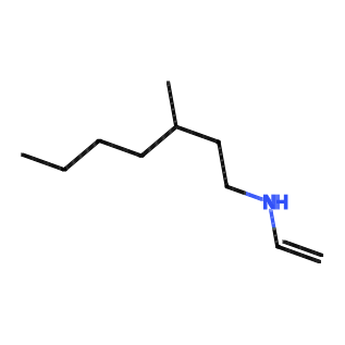 C=CNCCC(C)CCCC